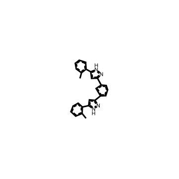 Cc1ccccc1-c1cc(-c2cccc(-c3cc(-c4ccccc4C)[nH]n3)c2)n[nH]1